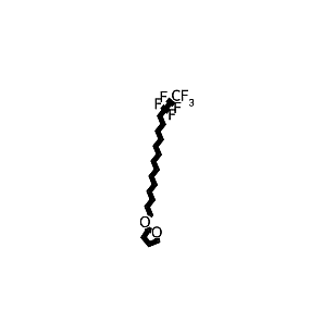 FC(F)(F)C(F)(F)C(F)(F)CCCCCCCCCCCCCCOC1CCCO1